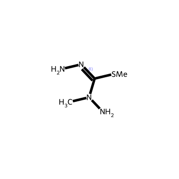 CS/C(=N/N)N(C)N